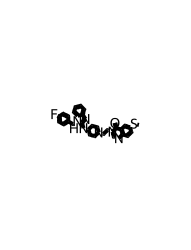 CSc1ccc2ncn(CCN3CCC(Nc4nc5ccccc5n4Cc4ccc(F)cc4)CC3)c(=O)c2c1